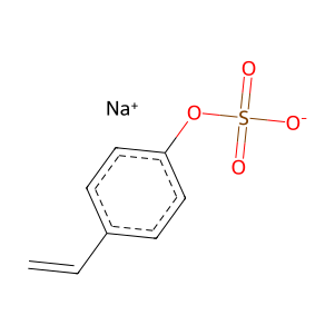 C=Cc1ccc(OS(=O)(=O)[O-])cc1.[Na+]